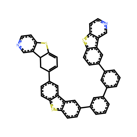 C1=C(c2ccc3sc4ccc(-c5cccc(-c6cccc(-c7ccc8sc9ccncc9c8c7)c6)c5)cc4c3c2)CC2C(=C1)Sc1ccncc12